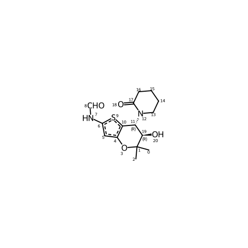 CC1(C)Oc2cc(NC=O)sc2[C@H](N2CCCCC2=O)[C@H]1O